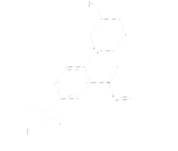 CS(=O)(=O)c1ccc(N2CCCC(O)C2)c(C(=O)N=O)c1